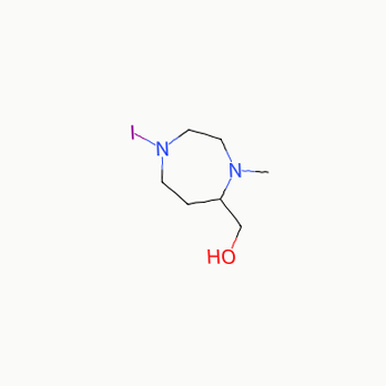 CN1CCN(I)CCC1CO